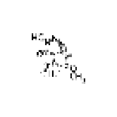 COc1cc(OC)c2c(=O)n(O)nnc2c1